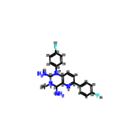 CC(C)N1C(N)c2nc(-c3ccc(F)cc3)ccc2N(c2ccc(F)cc2)C1N